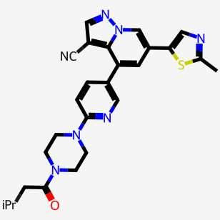 Cc1ncc(-c2cc(-c3ccc(N4CCN(C(=O)CC(C)C)CC4)nc3)c3c(C#N)cnn3c2)s1